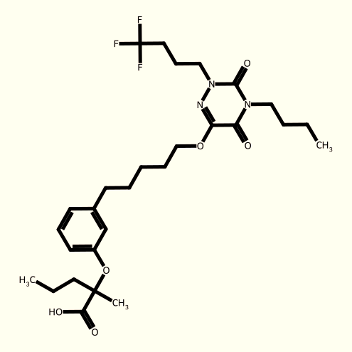 CCCCn1c(=O)c(OCCCCCc2cccc(OC(C)(CCC)C(=O)O)c2)nn(CCCC(F)(F)F)c1=O